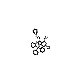 O=Cc1nc(Cl)cc2c1c(OCc1ccccc1)nn2C(c1ccccc1)(c1ccccc1)c1ccccc1